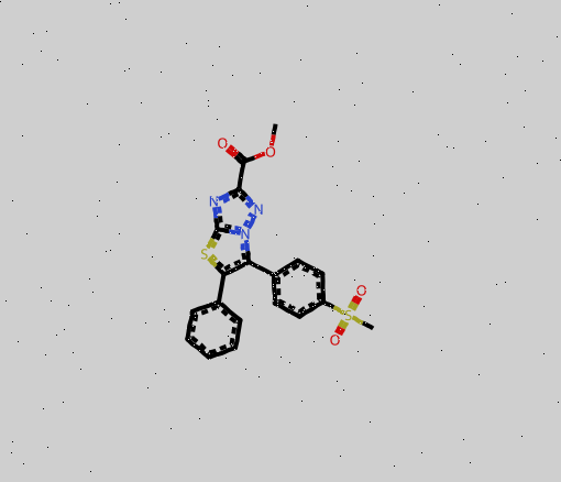 COC(=O)c1nc2sc(-c3ccccc3)c(-c3ccc(S(C)(=O)=O)cc3)n2n1